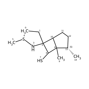 CCC1(NSC)C(S)C2(C)C1CC[C@@H]2C